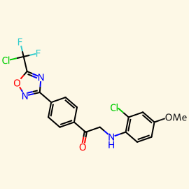 COc1ccc(NCC(=O)c2ccc(-c3noc(C(F)(F)Cl)n3)cc2)c(Cl)c1